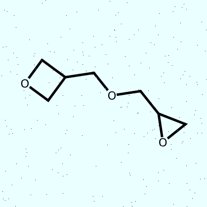 C1OCC1COCC1CO1